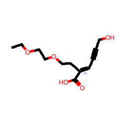 CCOCCOCC/C(=C\C#CCO)C(=O)O